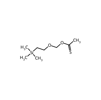 CC(=S)OCOCC[Si](C)(C)C